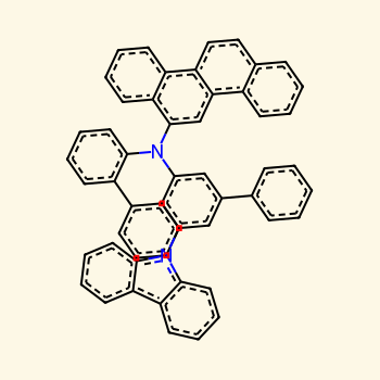 c1ccc(-c2cc(N(c3ccccc3-c3ccccc3)c3cc4c5ccccc5ccc4c4ccccc34)cc(-n3c4ccccc4c4ccccc43)c2)cc1